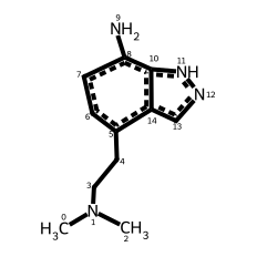 CN(C)CCc1ccc(N)c2[nH]ncc12